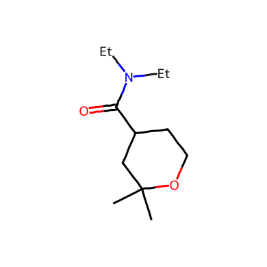 CCN(CC)C(=O)C1CCOC(C)(C)C1